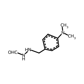 CN(C)c1ccc(CNNC=O)cc1